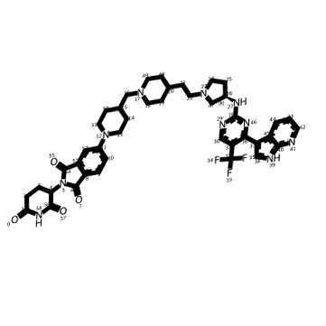 O=C1CCC(N2C(=O)c3ccc(N4CCC(CN5CCC(CCN6CC[C@@H](Nc7ncc(C(F)(F)F)c(-c8c[nH]c9ncccc89)n7)C6)CC5)CC4)cc3C2=O)C(=O)N1